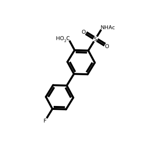 CC(=O)NS(=O)(=O)c1ccc(-c2ccc(F)cc2)cc1C(=O)O